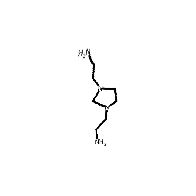 NCCN1CCN(CCN)C1